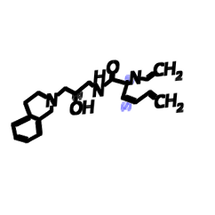 C=C/C=C\C(=N/C=C)C(=O)NC[C@@H](O)CN1CCc2ccccc2C1